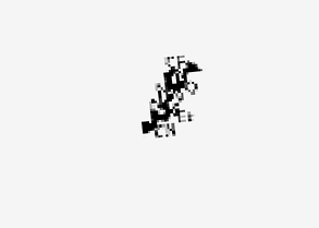 CCSc1cc(C2(C#N)CC2)cnc1-c1nc2cc(C(F)(F)F)n(C3CC3)c(=O)c2n1C